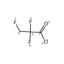 O=C(Cl)C(F)(F)CF